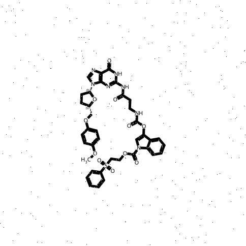 COc1ccc(OC[C@@H]2CC[C@H](n3cnc4c(=O)[nH]c(NC(=O)CCNC(=O)Oc5cn(C(=O)OCCS(=O)(=O)c6ccccc6)c6ccccc56)nc43)O2)cc1